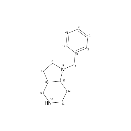 c1ccc(CN2CCC3CNCCC32)cc1